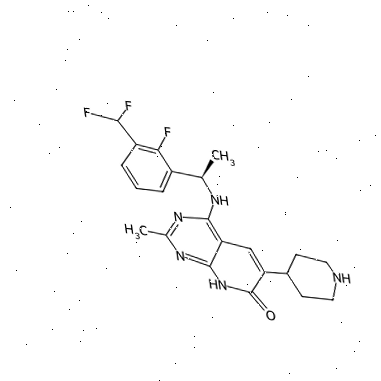 Cc1nc(N[C@H](C)c2cccc(C(F)F)c2F)c2cc(C3CCNCC3)c(=O)[nH]c2n1